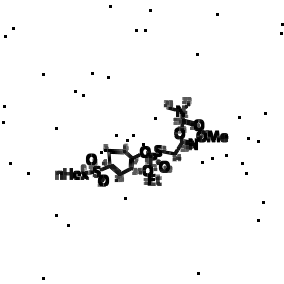 CCCCCCS(=O)(=O)c1ccc(OP(=O)(OCC)SCC(=NOC)OC(=O)N(C)C)cc1